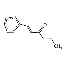 CC[CH]C(=O)/C=C/c1ccccc1